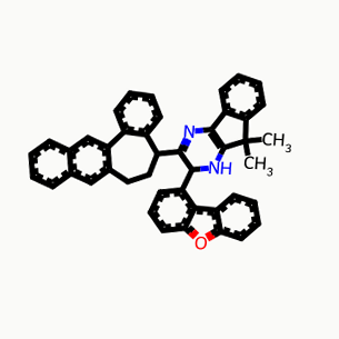 CC1(C)C2=C(N=C(C3CCc4cc5ccccc5cc4-c4ccccc43)C(c3cccc4oc5ccccc5c34)N2)c2ccccc21